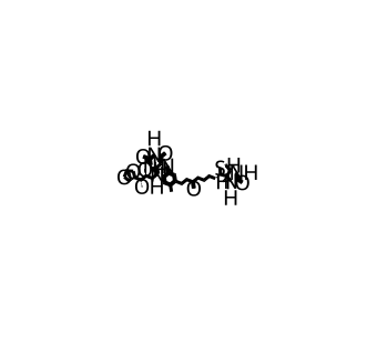 Cc1cc2c(cc1CCC(=O)CCCC[C@@H]1SC[C@@H]3NC(=O)N[C@@H]31)nc1c(=O)[nH]c(=O)nc-1n2C[C@H](O)[C@H](O)[C@H]1COCO1